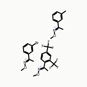 CO/N=C(\C)c1ccc(C(F)(F)F)cc1C(F)(F)F.CO/N=C(\C)c1cccc(Br)c1.CO/N=C(\C)c1cccc(C)c1